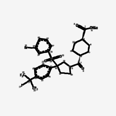 COC(=O)[C@H]1CC[C@H](C(=O)N2CCC(c3ccc(C(F)(C(F)(F)F)C(F)(F)F)cc3)(S(=O)(=O)c3cccc(Br)c3)C2)CC1